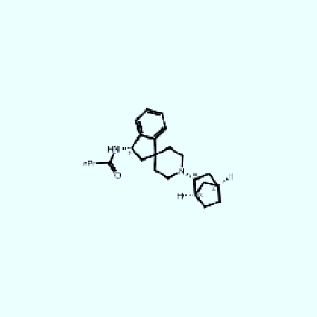 CCCC(=O)N[C@H]1CC2(CCN([C@@H]3C[C@H]4CC[C@@H]3C4)CC2)c2ccccc21